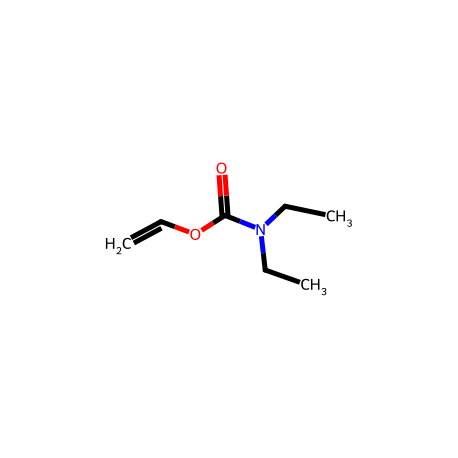 C=COC(=O)N(CC)CC